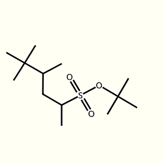 CC(CC(C)S(=O)(=O)OC(C)(C)C)C(C)(C)C